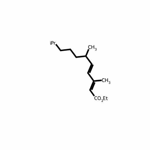 CCOC(=O)/C=C(C)/C=C/C(C)CCCC(C)C